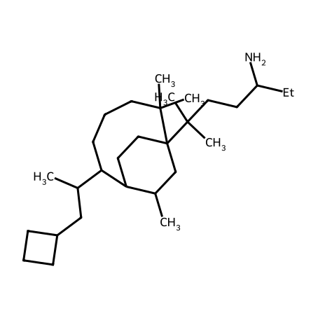 CCC(N)CCC(C)(C)C12CCC(C(C)C1)C(C(C)CC1CCC1)CCCC2(C)C